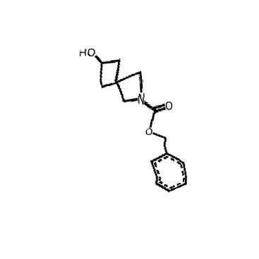 O=C(OCc1ccccc1)N1CC2(CC(O)C2)C1